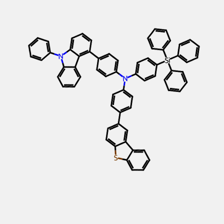 c1ccc(-n2c3ccccc3c3c(-c4ccc(N(c5ccc(-c6ccc7sc8ccccc8c7c6)cc5)c5ccc([Si](c6ccccc6)(c6ccccc6)c6ccccc6)cc5)cc4)cccc32)cc1